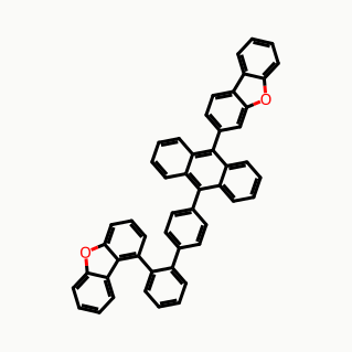 c1ccc(-c2cccc3oc4ccccc4c23)c(-c2ccc(-c3c4ccccc4c(-c4ccc5c(c4)oc4ccccc45)c4ccccc34)cc2)c1